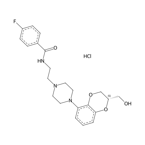 Cl.O=C(NCCN1CCN(c2cccc3c2OC[C@H](CO)O3)CC1)c1ccc(F)cc1